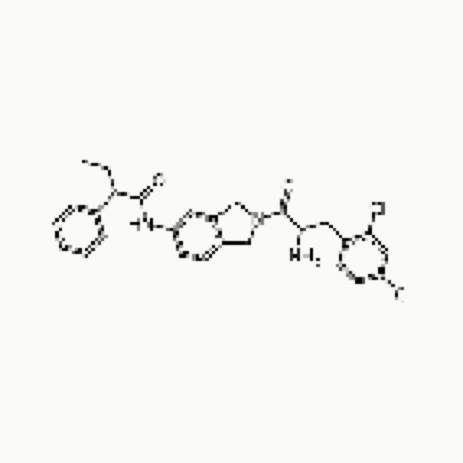 CCC(C(=O)Nc1ccc2c(c1)CN(C(=O)C(N)Cc1ccc(Cl)cc1Cl)C2)c1ccccc1